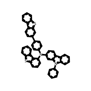 c1ccc(-n2c3ccccc3c3ccc(N(c4ccc(-c5ccc6c(c5)sc5ccccc56)cc4)c4cccc5sc6ccccc6c45)cc32)cc1